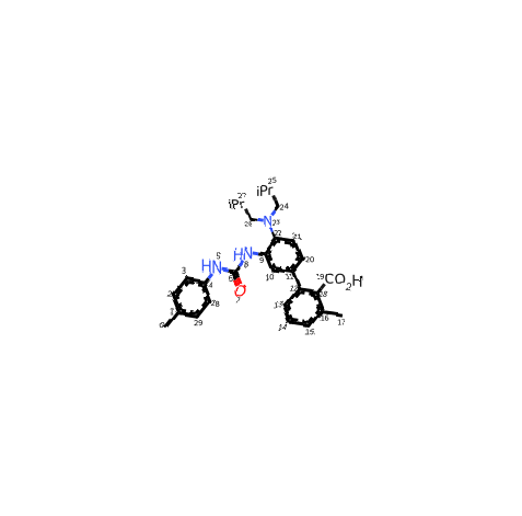 Cc1ccc(NC(=O)Nc2cc(-c3cccc(C)c3C(=O)O)ccc2N(CC(C)C)CC(C)C)cc1